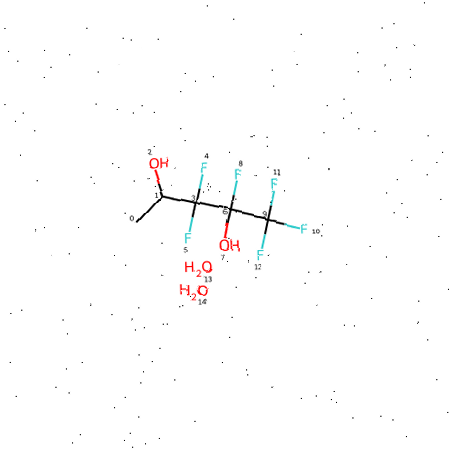 CC(O)C(F)(F)C(O)(F)C(F)(F)F.O.O